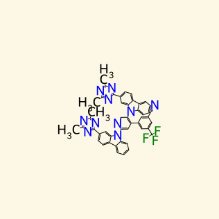 Cc1nc(C)nc(-c2ccc3c4ccccc4n(-c4cc(-c5cc(C#N)cc(C(F)(F)F)c5)c(-n5c6ccccc6c6ccc(-c7nc(C)nc(C)n7)cc65)cn4)c3c2)n1